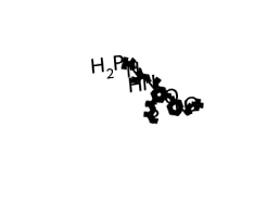 C=C/C(=C\N=C(/C)C(C)(C)P)CNC(=C)c1cc(OC2CCCN(C(=C)OC(C)(C)C)C2)cc(C(=C)S/C(C)=C\C)c1